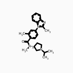 Cc1cc(-n2c(C)nc3ccccc32)ccc1C(=O)N(C)[C@@H]1CCN(C(C)C)C1